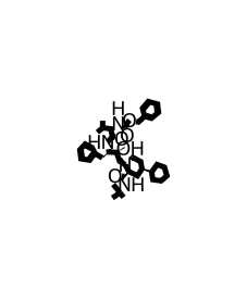 CC(C)[C@H](NC(=O)OCc1ccccc1)C(=O)N[C@@H](Cc1ccccc1)[C@H](O)CN1CC[C@@H](C2CCCCC2)C[C@H]1C(=O)NC(C)(C)C